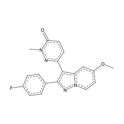 COc1ccn2nc(-c3ccc(F)cc3)c(-c3ccc(=O)n(C)n3)c2c1